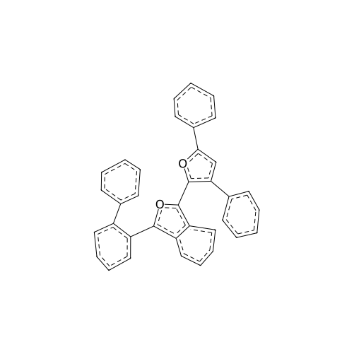 c1ccc(-c2cc(-c3ccccc3)c(-c3oc(-c4ccccc4-c4ccccc4)c4ccccc34)o2)cc1